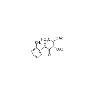 CC(=O)O[C@H](C(=O)O)[C@H](OC(C)=O)C(=O)Nc1ccccc1C